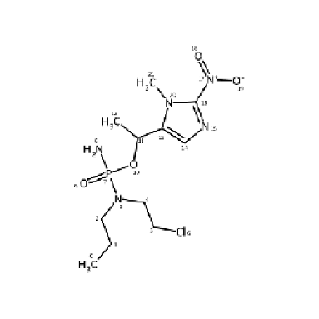 CCCN(CCCl)P(N)(=O)OC(C)c1cnc([N+](=O)[O-])n1C